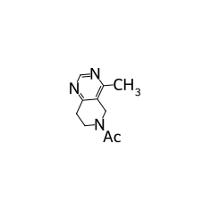 CC(=O)N1CCc2ncnc(C)c2C1